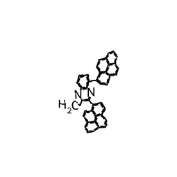 C=Cc1nc2cccc(-c3ccc4ccc5cccc6ccc3c4c56)c2nc1-c1ccc2ccc3cccc4ccc1c2c34